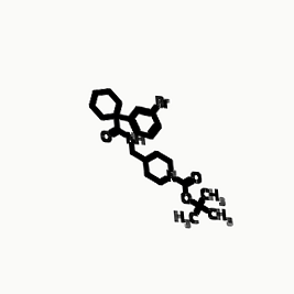 CC(C)(C)OC(=O)N1CCC(CNC(=O)C2(c3cccc(Br)c3)CCCCC2)CC1